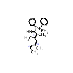 C\C=C/C(C)=C\C(C)=C(/C)C(=N)P(c1ccccc1)P(C)c1ccccc1